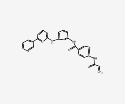 C=CC(=O)Nc1ccc(C(=O)Nc2cccc(Nc3nccc(-c4cccnc4)n3)c2)cc1